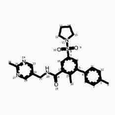 Cc1ccc(-c2cc(S(=O)(=O)N3CCCC3)cc(C(=O)NCc3cnc(C)nc3)c2C)cc1